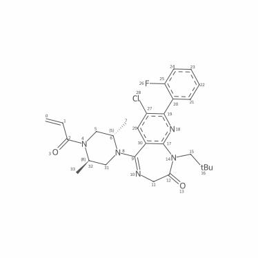 C=CC(=O)N1C[C@H](C)N(C2=NCC(=O)N(CC(C)(C)C)c3nc(-c4ccccc4F)c(Cl)cc32)C[C@H]1C